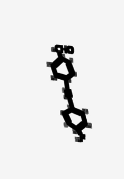 O=Cc1ccc(C#Cc2ccc(F)cc2)cc1